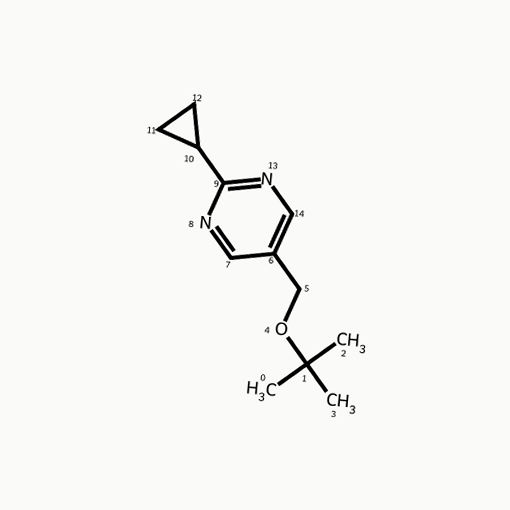 CC(C)(C)OCc1cnc(C2CC2)nc1